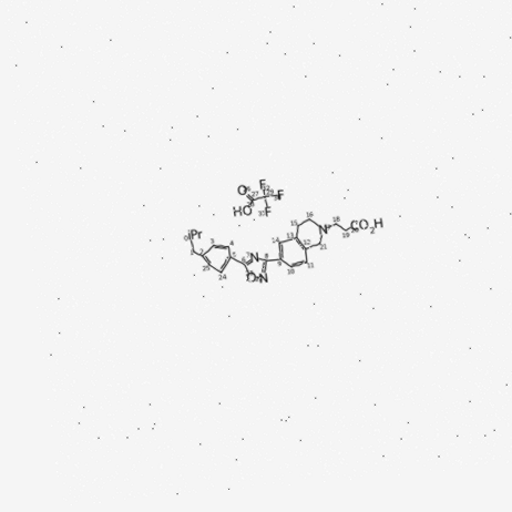 CC(C)Cc1ccc(-c2nc(-c3ccc4c(c3)CCN(CCC(=O)O)C4)no2)cc1.O=C(O)C(F)(F)F